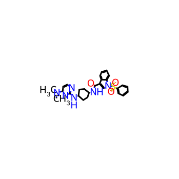 CN(C)c1ccnc(N[C@H]2CC[C@@H](NC(=O)c3cn(S(=O)(=O)c4ccccc4)c4ccccc34)CC2)n1